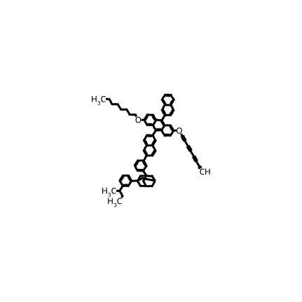 C#CC#CC#CC#COc1ccc2c(-c3ccc4cc(-c5cccc(C67CC8CC(C6)CC(c6cccc(C(C)CC)c6)(C8)C7)c5)ccc4c3)c3cc(OCCCCCCCC)ccc3c(-c3ccc4ccccc4c3)c2c1